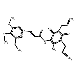 C=CCn1c(N)c(NC(=O)/C=C/c2cc(OC)c(OC)c(OC)c2)c(=O)n(CC=C)c1=O